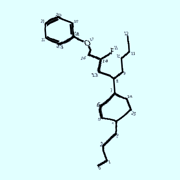 CCCCC1CCC(C(CCCC)CC(F)COc2ccccc2)CC1